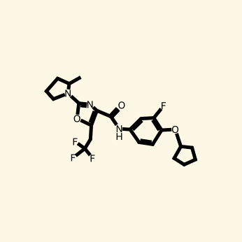 CC1CCCN1c1nc(C(=O)Nc2ccc(OC3CCCC3)c(F)c2)c(CC(F)(F)F)o1